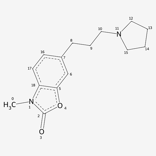 Cn1c(=O)oc2cc(CCCN3CCCC3)ccc21